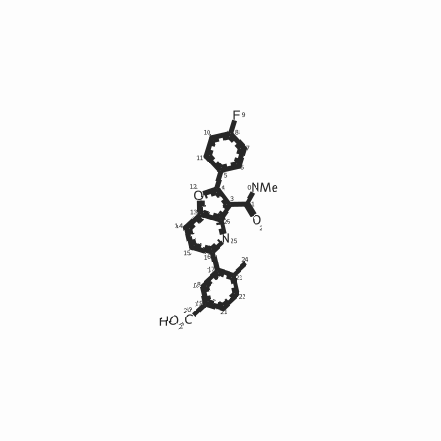 CNC(=O)c1c(-c2ccc(F)cc2)oc2ccc(-c3cc(C(=O)O)ccc3C)nc12